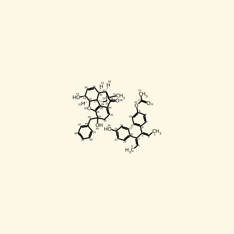 C/C=C(/C(=C/C)c1ccc(OC(C)=O)cc1)c1ccc(O)cc1.CN1CC[C@]23C4=C5O[C@H]2[C@@H](O)C=C[C@H]3[C@H]1C(=O)C4=CCC5(O)Cc1ccccc1